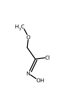 COCC(Cl)=NO